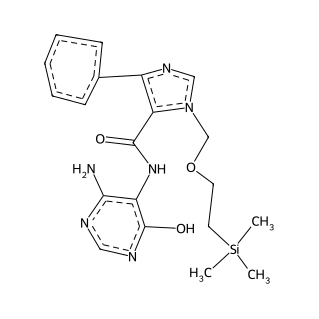 C[Si](C)(C)CCOCn1cnc(-c2ccccc2)c1C(=O)Nc1c(N)ncnc1O